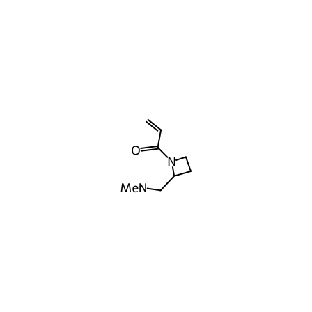 C=CC(=O)N1CCC1CNC